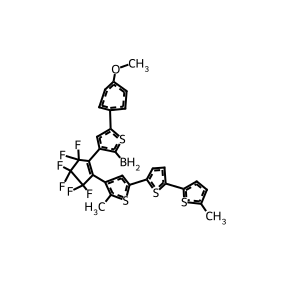 Bc1sc(-c2ccc(OC)cc2)cc1C1=C(c2cc(-c3ccc(-c4ccc(C)s4)s3)sc2C)C(F)(F)C(F)(F)C1(F)F